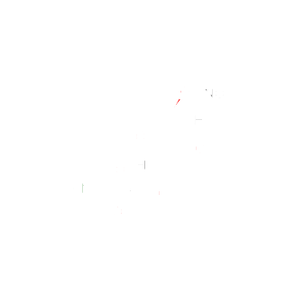 C[C@@H](Cl)OC(=O)O[C@H]1CO[C@H]2[C@@H]1OC[C@H]2O[N+](=O)[O-]